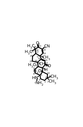 CC1(C)CC[C@]2(NN)CC[C@]3(C)[C@H](C(=O)C=C4[C@@]5(C)C=C(C#N)C(=O)C(C)(C)C5CC[C@]43C)[C@]2(C)C1